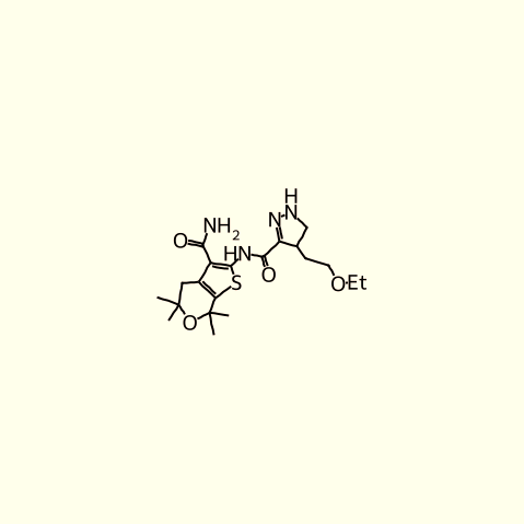 CCOCCC1CNN=C1C(=O)Nc1sc2c(c1C(N)=O)CC(C)(C)OC2(C)C